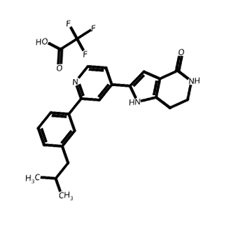 CC(C)Cc1cccc(-c2cc(-c3cc4c([nH]3)CCNC4=O)ccn2)c1.O=C(O)C(F)(F)F